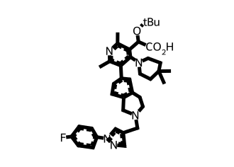 Cc1nc(C)c(C(OC(C)(C)C)C(=O)O)c(N2CCC(C)(C)CC2)c1-c1ccc2c(c1)CCN(Cc1cnn(-c3ccc(F)cc3)c1)C2